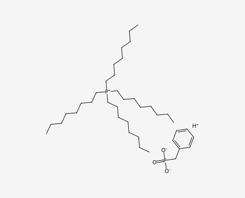 CCCCCCCC[P+](CCCCCCCC)(CCCCCCCC)CCCCCCCC.O=P([O-])([O-])Cc1ccccc1.[H+]